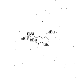 CCCC[PH](CCCC)(CCCC)CC(CCC(C)CC(C)(C)C)CC(C)CC(C)(C)C